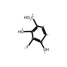 O=C(O)c1ccc(O)c(F)c1O